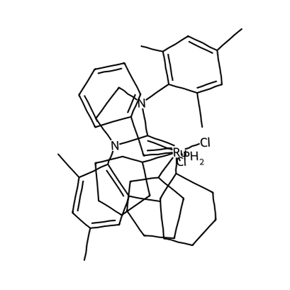 Cc1cc(C)c(N2CCN(c3c(C)cc(C)cc3C)[C]2=[Ru]([PH2])([Cl])([Cl])(=[CH]c2ccccc2)([CH]2CCCCC2)([CH]2CCCCC2)[CH]2CCCCC2)c(C)c1